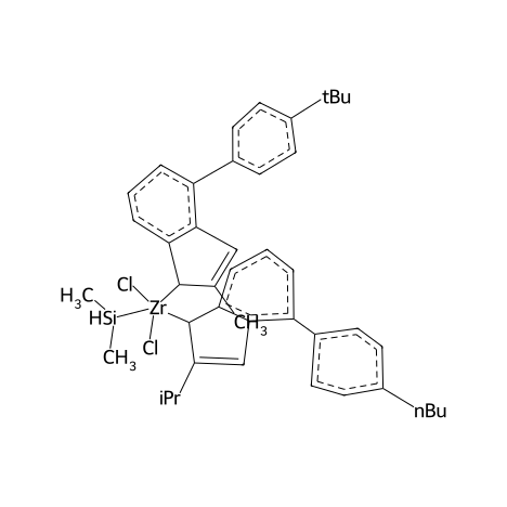 CCCCc1ccc(-c2cccc3c2C=C(C(C)C)[CH]3[Zr]([Cl])([Cl])([CH]2C(C)=Cc3c(-c4ccc(C(C)(C)C)cc4)cccc32)[SiH](C)C)cc1